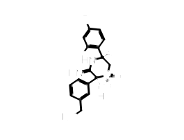 CCc1cccc([C@@]2(C)C(=N)N[C@](C)(c3ccc(F)cc3F)CS2(=O)=O)c1